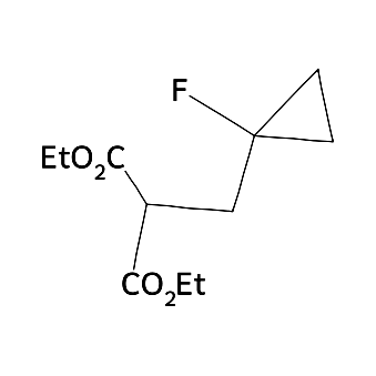 CCOC(=O)C(CC1(F)CC1)C(=O)OCC